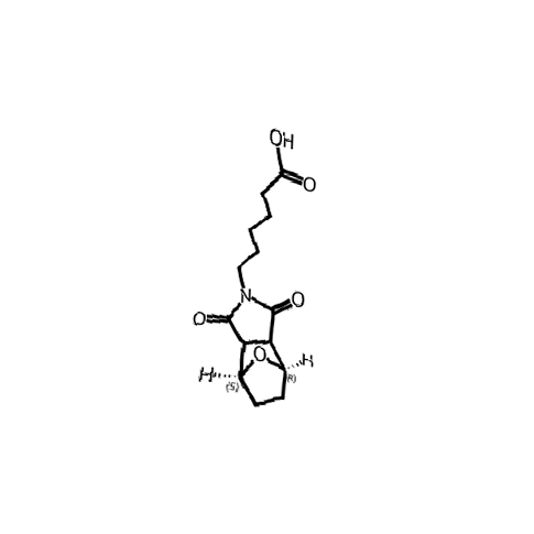 O=C(O)CCCCCN1C(=O)C2C(C1=O)[C@H]1CC[C@@H]2O1